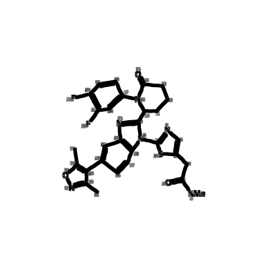 CNC(=O)Cc1cnc(-n2c(C3CCCC(=O)N3c3ccc(F)c(F)c3)nc3cc(-c4c(C)noc4C)ccc32)s1